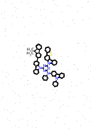 CC1(C)c2ccccc2-c2ccc(-c3ccc4c5ccccc5n(-c5nc(N(c6ccccc6)c6ccc7c8ccccc8n(-c8ccccc8)c7c6)nc(-n6c7ccccc7c7c8sc9ccccc9c8ccc76)n5)c4c3)cc21